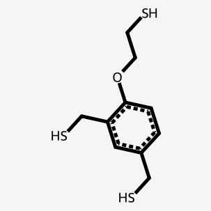 SCCOc1ccc(CS)cc1CS